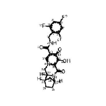 O=C(NCc1c(F)cc(F)cc1F)c1cn2c(c(O)c1=O)C(=O)N1[C@H]3CC[C@@H](C3)[C@@H]1C2